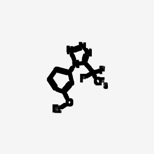 CCOc1cccc(-n2nnnc2C(F)(F)C(F)(F)F)c1